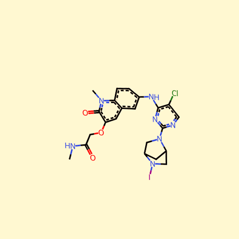 CNC(=O)COc1cc2cc(Nc3nc(N4CC5CC4CN5I)ncc3Cl)ccc2n(C)c1=O